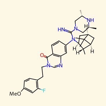 COc1ccc(CCn2cnc3cc(N(C(=N)N4C[C@H](C)N[C@@H](C)C4)[C@H]4C[C@H]5C[C@@H]([C@@H]4C)C5(C)C)ccc3c2=O)c(F)c1